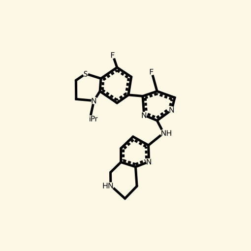 CC(C)N1CCSc2c(F)cc(-c3nc(Nc4ccc5c(n4)CCNC5)ncc3F)cc21